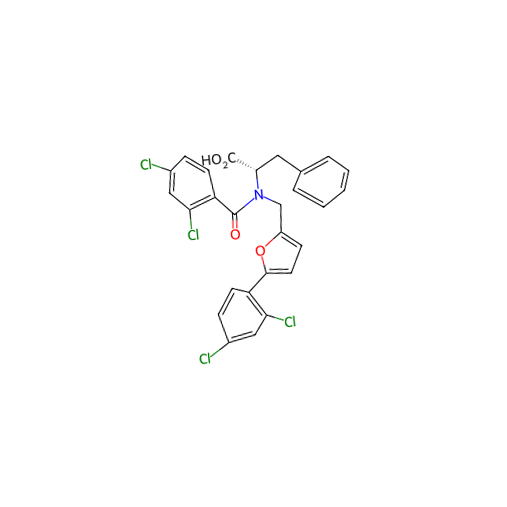 O=C(O)[C@H](Cc1ccccc1)N(Cc1ccc(-c2ccc(Cl)cc2Cl)o1)C(=O)c1ccc(Cl)cc1Cl